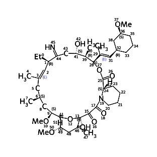 CC[C@@H]1/C=C(\C)C[C@H](C)C[C@H](OC)[C@H]2O[C@@](O)(C(=O)C(=O)N3CCCC[C@H]3C(=O)O[C@H](/C(C)=C/[C@@H]3CCC[C@H](OC)C3)[C@H](C)[C@@H](O)CC1=N)[C@H](C)C[C@@H]2OC